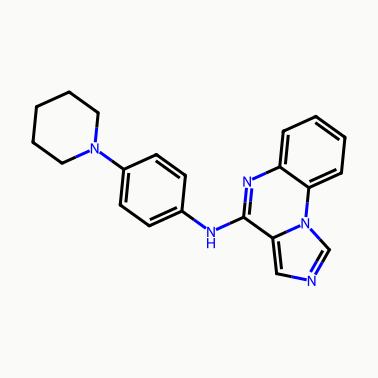 c1ccc2c(c1)nc(Nc1ccc(N3CCCCC3)cc1)c1cncn12